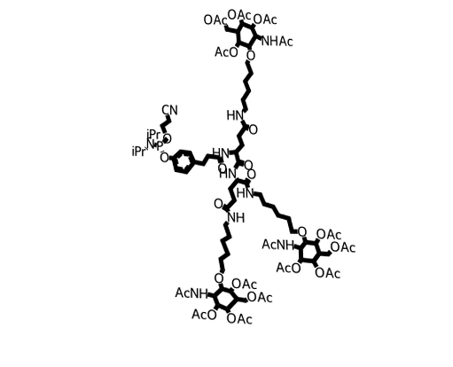 CC(=O)NC1C(OCCCCCCNC(=O)CCC(NC(=O)CCc2ccc(OP(OCCC#N)N(C(C)C)C(C)C)cc2)C(=O)NC(CCC(=O)NCCCCCCOC2C(NC(C)=O)C(OC(C)=O)C(OC(C)=O)C(COC(C)=O)C2OC(C)=O)C(=O)NCCCCCCOC2C(NC(C)=O)C(OC(C)=O)C(OC(C)=O)C(COC(C)=O)C2OC(C)=O)C(OC(C)=O)C(COC(C)=O)C(OC(C)=O)C1OC(C)=O